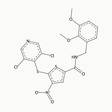 COc1cccc(CNC(=O)c2cc([N+](=O)[O-])c(Sc3c(Cl)cncc3Cl)s2)c1OC